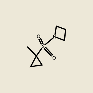 CC1(S(=O)(=O)N2CCC2)CC1